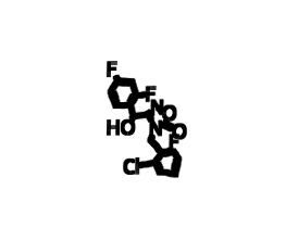 O=c1onc(C(O)c2ccc(F)cc2F)n1Cc1c(F)cccc1Cl